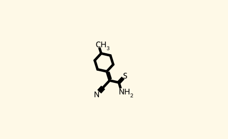 CC1CCC(=C(C#N)C(N)=S)CC1